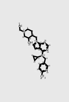 CC(=O)CN1CCC(Cn2ccc3c(N(Cc4ccc(C(F)(F)F)nc4)C4CC4)ncnc32)C(O)C1